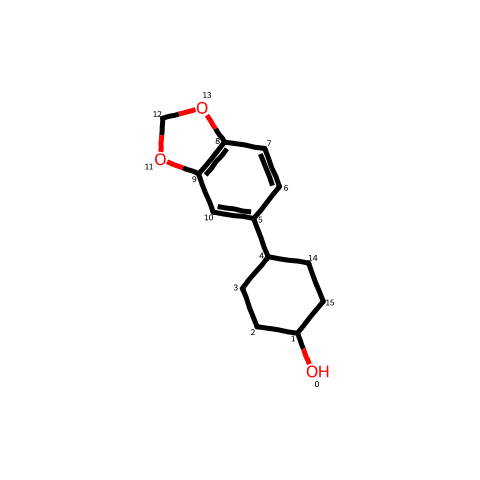 OC1CC[C](c2ccc3c(c2)OCO3)CC1